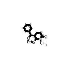 CCSc1c(C(=O)c2ccccc2)ccc(=O)n1C